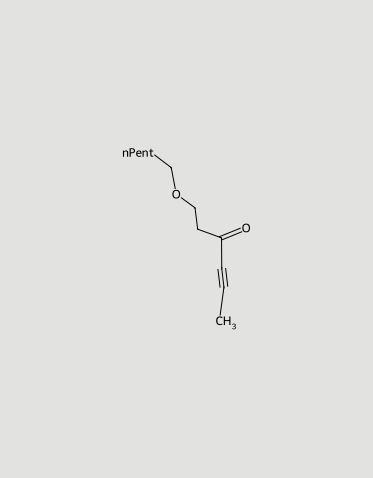 CC#CC(=O)CCOCCCCCC